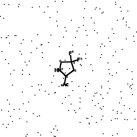 CC(=O)C1CC(F)(F)CN1